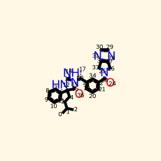 CC(C)CCC1(c2ccccc2)NC(=N)N([C@H](C)c2cccc(C(=O)N3Cc4nccnc4C3)c2)C1=O